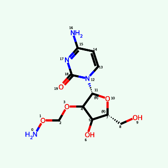 NOCOC1C(O)[C@@H](CO)O[C@H]1n1ccc(N)nc1=O